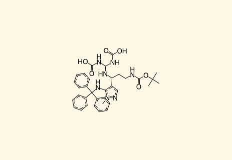 Cn1ncc(C(CCNC(=O)OC(C)(C)C)NC(NC(=O)O)NC(=O)O)c1NC(c1ccccc1)(c1ccccc1)c1ccccc1